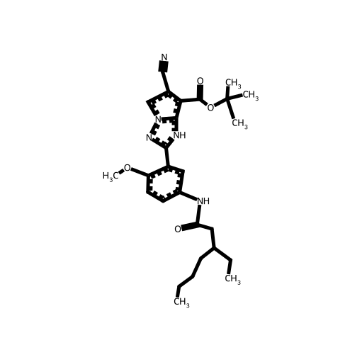 CCCCC(CC)CC(=O)Nc1ccc(OC)c(-c2nn3cc(C#N)c(C(=O)OC(C)(C)C)c3[nH]2)c1